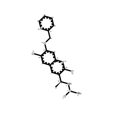 C[C@H](N[S+]([O-])C(C)(C)C)c1cc2cc(Cl)c(OCc3ccccn3)cc2nc1Cl